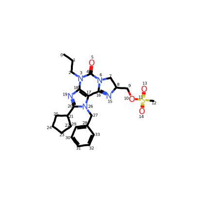 CCCN1C(=O)N2CC(COS(C)(=O)=O)N=C2c2c1nc(C1CCCC1)n2Cc1ccccc1